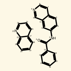 O=C(Nc1ccc2ccncc2c1)c1ccccc1.c1ccc2ncccc2c1